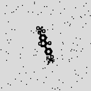 CS(=O)(=O)Oc1ccc2c(=O)c(-c3ccc(OC(F)(F)F)cc3)coc2c1